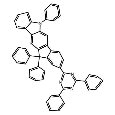 C1=C=CC(n2c3ccccc3c3cc4c(cc32)-c2ccc(-c3nc(-c5ccccc5)nc(-c5ccccc5)n3)cc2C4(c2ccccc2)c2ccccc2)=CC=1